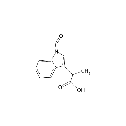 CC(C(=O)O)c1cn(C=O)c2ccccc12